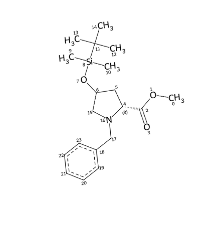 COC(=O)[C@H]1CC(O[Si](C)(C)C(C)(C)C)CN1Cc1ccccc1